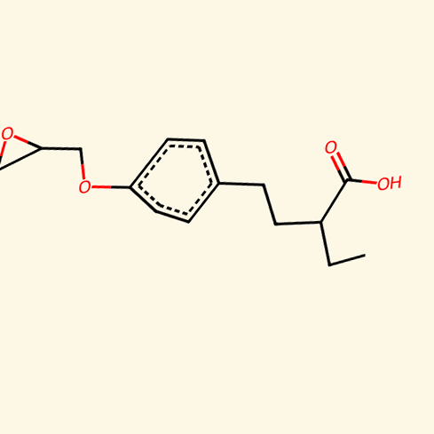 CCC(CCc1ccc(OCC2CO2)cc1)C(=O)O